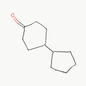 O=C1CCC(C2CCCC2)CC1